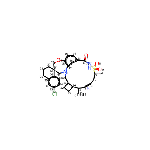 CCCCC1/C=C\CC(C)S(=O)(=O)NC(=O)c2ccc3c(c2)N(CC2CCC12)C[C@@]1(CCCc2cc(Cl)ccc21)CO3